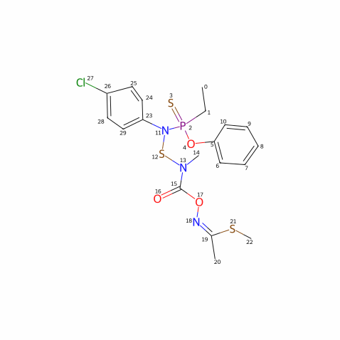 CCP(=S)(Oc1ccccc1)N(SN(C)C(=O)ON=C(C)SC)c1ccc(Cl)cc1